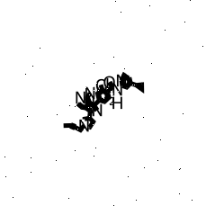 CC#CCN1CCC(c2nc(-c3ccc(C(=O)Nc4cc(C5CC5)ccn4)c(Cl)c3)n3c(N)nccc23)C1